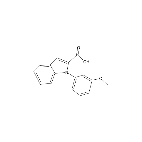 COc1cccc(-n2c(C(=O)O)cc3ccccc32)c1